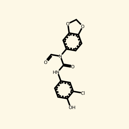 O=CN(C(=O)Nc1ccc(O)c(Cl)c1)c1ccc2c(c1)OCO2